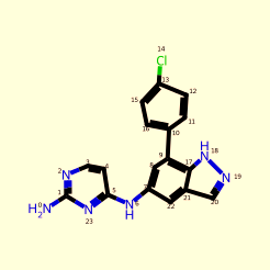 Nc1nccc(Nc2cc(-c3ccc(Cl)cc3)c3[nH]ncc3c2)n1